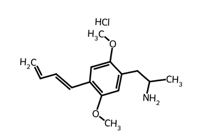 C=CC=Cc1cc(OC)c(CC(C)N)cc1OC.Cl